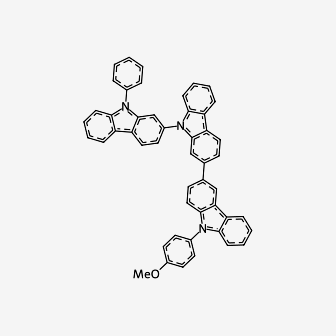 COc1ccc(-n2c3ccccc3c3cc(-c4ccc5c6ccccc6n(-c6ccc7c8ccccc8n(-c8ccccc8)c7c6)c5c4)ccc32)cc1